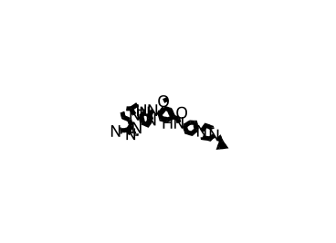 CCC1c2c(C#N)ncn2-c2cnc(Nc3ccc(C(=O)NC4CCC(N5CCN(CC6CC6)CC5)CC4)cc3OC)nc2N1C(C)C